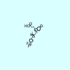 COc1ccc2c(c1)c(CCC(=O)O)cn2Cc1sc(-c2ccc(C(F)(F)F)cc2)nc1C